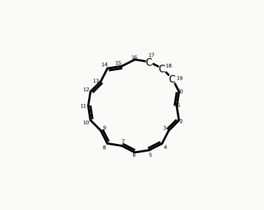 [C]1=C/C=C/C=C\C=C\C=C\C=C/C=C/C=C/CCCC/1